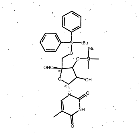 Cc1cn([C@@H]2O[C@](C=O)(CO[Si](c3ccccc3)(c3ccccc3)C(C)(C)C)C(O[Si](C)(C)C(C)(C)C)C2O)c(=O)[nH]c1=O